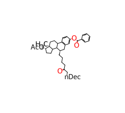 CCCCCCCCCCCC(=O)CCCC[C@@H]1Cc2cc(OC(=O)c3ccccc3)ccc2C2CC[C@@]3(C)C(CC[C@@H]3OC(C)=O)C21